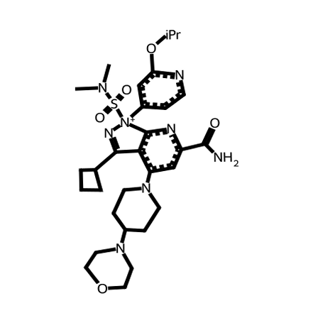 CC(C)Oc1cc([N+]2(S(=O)(=O)N(C)C)N=C(C3CCC3)c3c(N4CCC(N5CCOCC5)CC4)cc(C(N)=O)nc32)ccn1